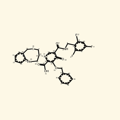 O=C(NCc1c(F)cc(F)cc1F)c1cn([C@H]2CCCc3ccccc3NC2)c(C(=O)O)c(OCc2ccccc2)c1=O